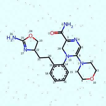 NC(=O)C1=NC=C(N2CCOCC2)N(c2ccccc2CCC2COC(N)=N2)C1